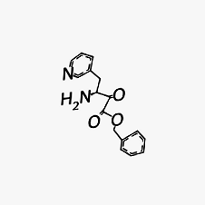 N[C@@H](Cc1cccnc1)C(=O)C(=O)OCc1ccccc1